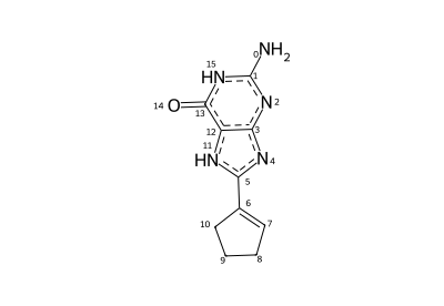 Nc1nc2nc(C3=CCCC3)[nH]c2c(=O)[nH]1